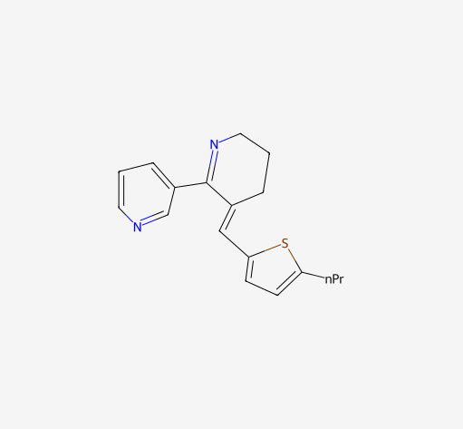 CCCc1ccc(C=C2CCCN=C2c2cccnc2)s1